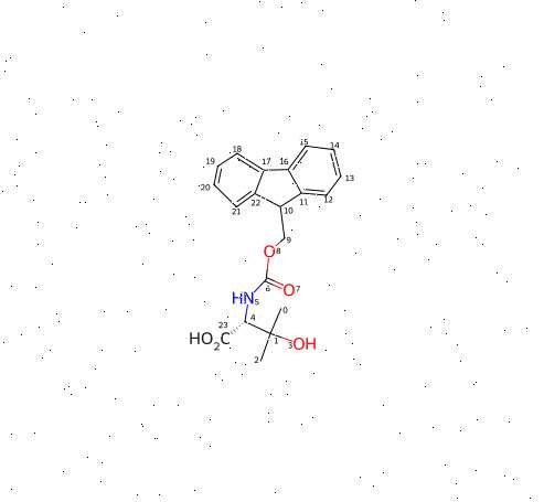 CC(C)(O)[C@@H](NC(=O)OCC1c2ccccc2-c2ccccc21)C(=O)O